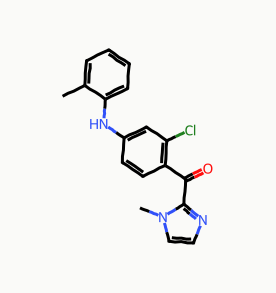 Cc1ccccc1Nc1ccc(C(=O)c2nccn2C)c(Cl)c1